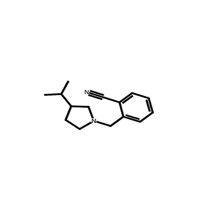 CC(C)C1CCN(Cc2ccccc2C#N)C1